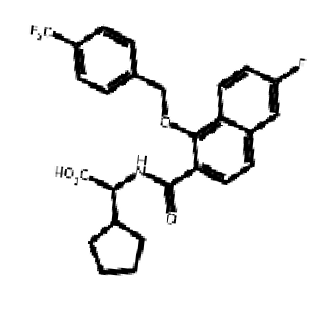 O=C(NC(C(=O)O)C1CCCC1)c1ccc2cc(F)ccc2c1OCc1ccc(C(F)(F)F)cc1